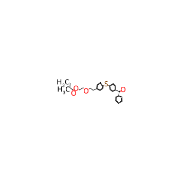 CCC(C)C(=O)OCCOCCc1ccc(Sc2ccc(C(=O)c3ccccc3)cc2)cc1